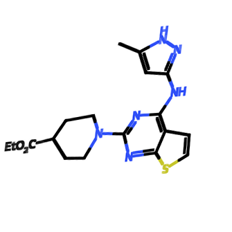 CCOC(=O)C1CCN(c2nc(Nc3cc(C)[nH]n3)c3ccsc3n2)CC1